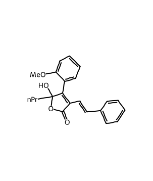 CCCC1(O)OC(=O)C(C=Cc2ccccc2)=C1c1ccccc1OC